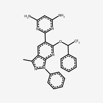 Cc1nn(-c2ccccc2)c2nc(OC(c3ccccc3)C(F)(F)F)c(-c3nc(N)cc(N)n3)cc12